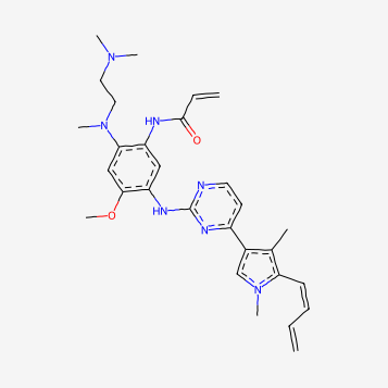 C=C/C=C\c1c(C)c(-c2ccnc(Nc3cc(NC(=O)C=C)c(N(C)CCN(C)C)cc3OC)n2)cn1C